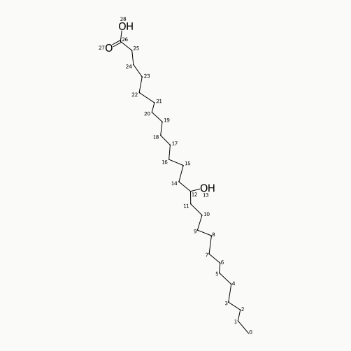 CCCCCCCCCCCCC(O)CCCCCCCCCCCCC(=O)O